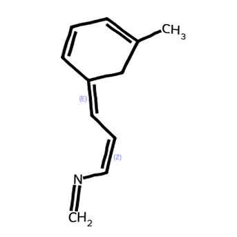 C=N/C=C\C=C1\C=CC=C(C)C1